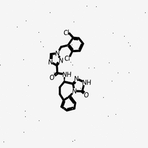 O=C(N[C@@H]1CCc2ccccc2-n2c1n[nH]c2=O)c1ncn(Cc2c(Cl)cccc2Cl)n1